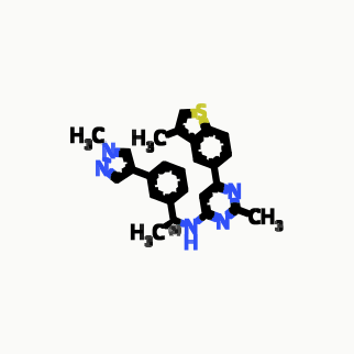 Cc1nc(N[C@@H](C)c2cccc(-c3cnn(C)c3)c2)cc(-c2ccc3scc(C)c3c2)n1